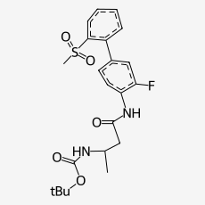 CC(CC(=O)Nc1ccc(-c2ccccc2S(C)(=O)=O)cc1F)NC(=O)OC(C)(C)C